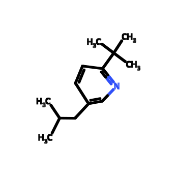 CC(C)Cc1ccc(C(C)(C)C)nc1